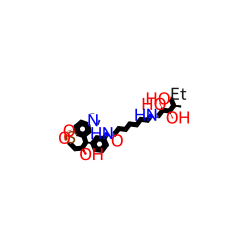 CC[C@@H](O)[C@@H](C)[C@H](O)[C@@H](O)CNCCCCCCC(=O)Nc1cccc([C@@H]2c3cc(N(C)C)ccc3S(=O)(=O)CC[C@@H]2O)c1